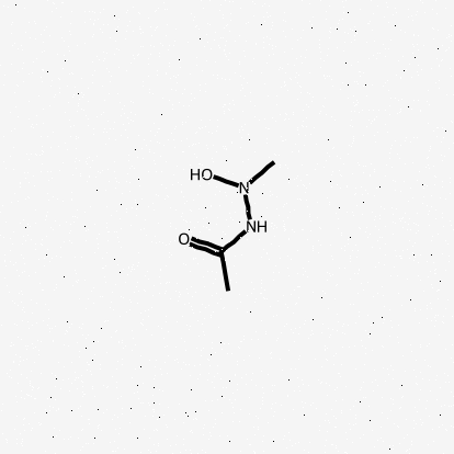 CC(=O)NN(C)O